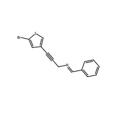 Brc1cc(C#CC/N=C/c2ccccc2)cs1